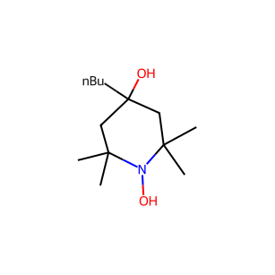 CCCCC1(O)CC(C)(C)N(O)C(C)(C)C1